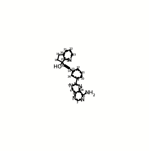 Nc1ncnc2cnc(-c3cccc(C#CC4(O)CCc5cccnc54)c3)nc12